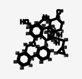 O=C1CC[C@H]2[C@H]3Cc4c(OCc5ccccc5-c5ccccc5)cc(O)c5c4[C@@]2(CCN3CC2CC2)[C@H]1O5